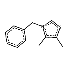 Cc1sc[n+](Cc2ccccc2)c1C